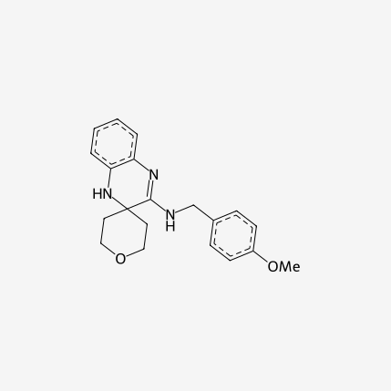 COc1ccc(CNC2=Nc3ccccc3NC23CCOCC3)cc1